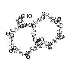 O=CCCCCCOC(=O)CCCCCOC(=O)CCCCCOC(=O)CCCCCOC(=O)CCCCCOC(=O)CCCCCOC(=O)CCCCCOC(=O)CCCCCOC(=O)CCCCCOC(=O)CCCCCOC(=O)c1cccc(C=O)c1